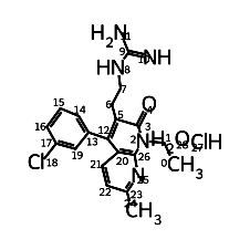 CCn1c(=O)c(CCNC(=N)N)c(-c2cccc(Cl)c2)c2ccc(C)nc21.Cl.O